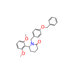 COc1cccc(OC)c1C1CCCC(=O)N1Cc1ccc(OCc2ccccc2)cc1